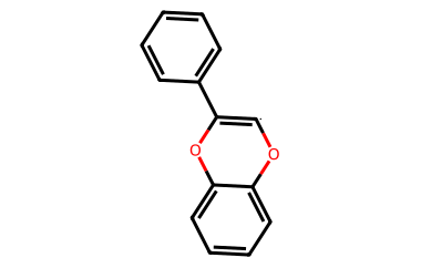 [C]1=C(c2ccccc2)Oc2ccccc2O1